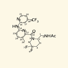 CC(=O)NCC1CCC(F)(F)CN1C(=O)c1nc(Nc2cc(C(F)(F)F)ccn2)ccc1C